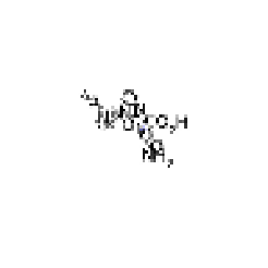 C[C@@H](C[C@@H]1CCCN1C=C1C2CC1C21CC1)n1c(=O)c(/C(=N/OCC(N)=O)C(=O)O)nc2ccccc21